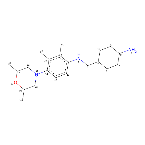 Cc1c(NCC2CCC(N)CC2)ccc(N2CC(C)OC(C)C2)c1C